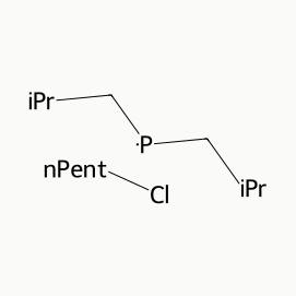 CC(C)C[P]CC(C)C.CCCCCCl